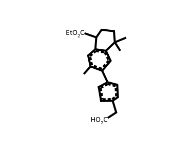 CCOC(=O)C1CCC(C)(C)c2cc(-c3ccc(CC(=O)O)cc3)c(C)cc21